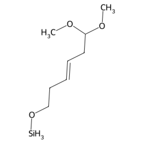 COC(CC=CCCO[SiH3])OC